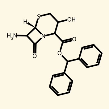 NC1C(=O)N2C(C(=O)OC(c3ccccc3)c3ccccc3)C(O)CS[C@@H]12